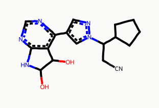 N#CCC(C1CCCC1)n1cc(-c2ncnc3c2C(O)C(O)N3)cn1